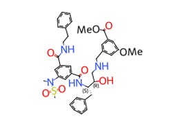 COC(=O)c1cc(CNC[C@@H](O)[C@H](Cc2ccccc2)NC(=O)c2cc(C(=O)NCCc3ccccc3)cc(N(C)S(C)(=O)=O)c2)cc(OC)c1